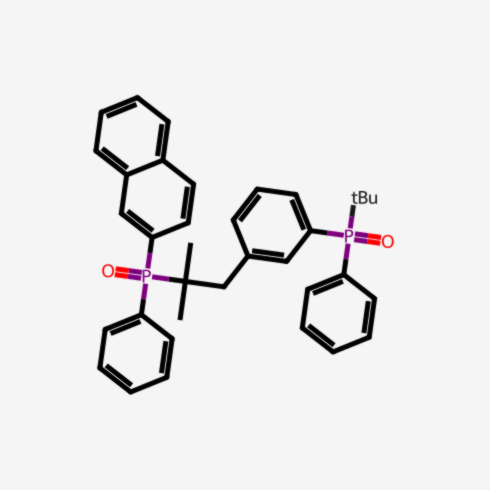 CC(C)(C)P(=O)(c1ccccc1)c1cccc(CC(C)(C)P(=O)(c2ccccc2)c2ccc3ccccc3c2)c1